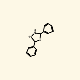 c1ccc(C2NNC(c3ccccc3)O2)cc1